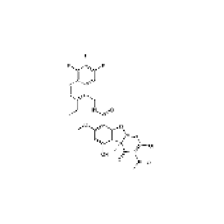 CCc1ccc2c(F)c(F)c(F)cc2c1CNC(=O)c1c(OC)cc(O)c2c1OC1=CC(O)=C(C(C)=O)C(=O)[C@]12C